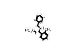 Cc1ccccc1[C@H](CC(=O)O)NCc1ccccc1